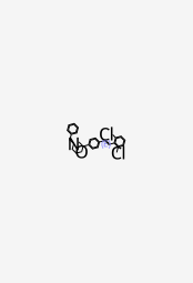 Clc1cccc(Cl)c1/C=C/c1ccc(C2CN(Cc3ccccc3)CCO2)cc1